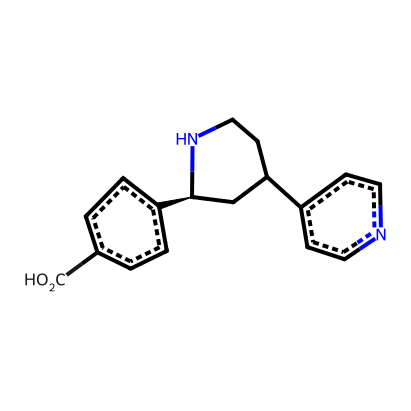 O=C(O)c1ccc([C@@H]2CC(c3ccncc3)CCN2)cc1